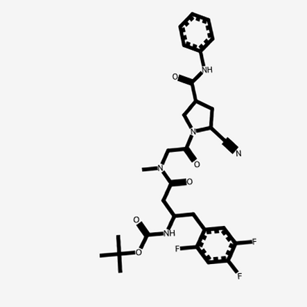 CN(CC(=O)N1CC(C(=O)Nc2ccccc2)CC1C#N)C(=O)CC(Cc1cc(F)c(F)cc1F)NC(=O)OC(C)(C)C